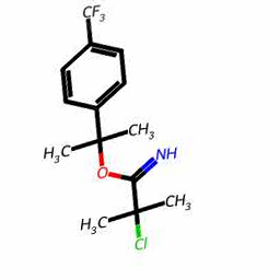 CC(C)(Cl)C(=N)OC(C)(C)c1ccc(C(F)(F)F)cc1